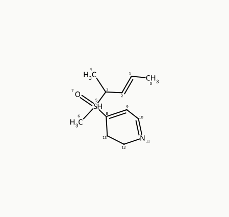 CC=CC(C)[SH](C)(=O)C1=CC=NCC1